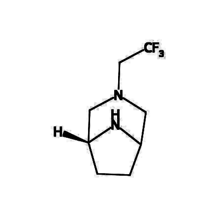 FC(F)(F)CN1CC2CC[C@H](C1)N2